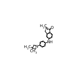 CN1Cc2cc(Nc3ccc(N4CC(C)(C)C4)cc3)ccc2C1=O